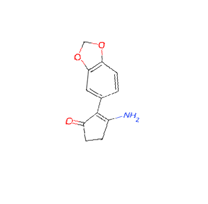 NC1=C(c2ccc3c(c2)OCO3)C(=O)CC1